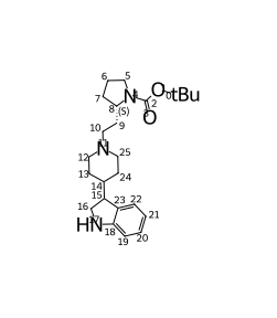 CC(C)(C)OC(=O)N1CCC[C@H]1CCN1CCC(C2CNc3ccccc32)CC1